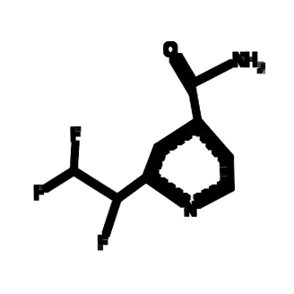 NC(=O)c1ccnc(C(F)C(F)F)c1